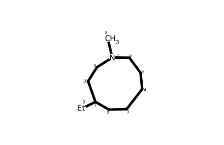 CCC1CCCCCN(C)CC1